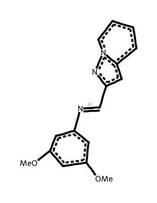 COc1cc(/N=C/c2cc3ccccn3n2)cc(OC)c1